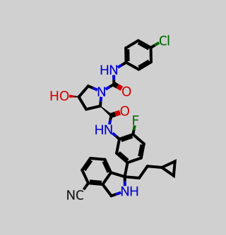 N#Cc1cccc2c1CNC2(CCC1CC1)c1ccc(F)c(NC(=O)[C@H]2C[C@@H](O)CN2C(=O)Nc2ccc(Cl)cc2)c1